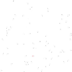 CCSC(=S)SC1C(C(OC(C)=O)c2ccccc2)C(=O)N1C(C(=O)OCc1ccc([N+](=O)[O-])cc1)=P(c1ccccc1)(c1ccccc1)c1ccccc1